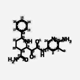 Cc1cc(NC(=O)C(=O)C2NC(c3ccccc3)CCC2C(N)=O)cnc1N